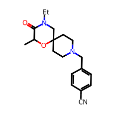 CCN1CC2(CCN(Cc3ccc(C#N)cc3)CC2)OC(C)C1=O